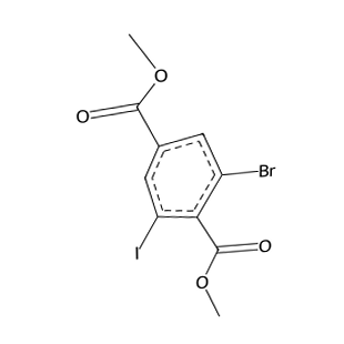 COC(=O)c1cc(Br)c(C(=O)OC)c(I)c1